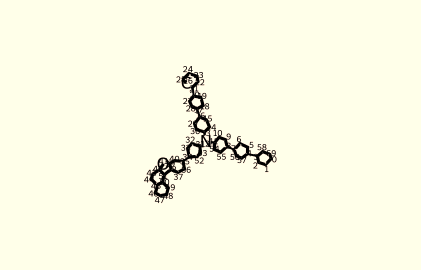 c1ccc(-c2ccc(-c3ccc(N(c4ccc(-c5ccc(-c6ccccc6)cc5)cc4)c4ccc(-c5ccc6c(c5)oc5ccc7ccccc7c56)cc4)cc3)cc2)cc1